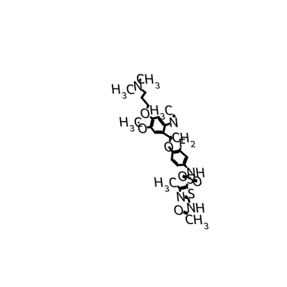 C=C(Oc1ccc(NS(=O)(=O)c2sc(NC(C)=O)nc2C)cc1F)c1cc(OC)c(OCCCN(C)C)cc1/N=C\C